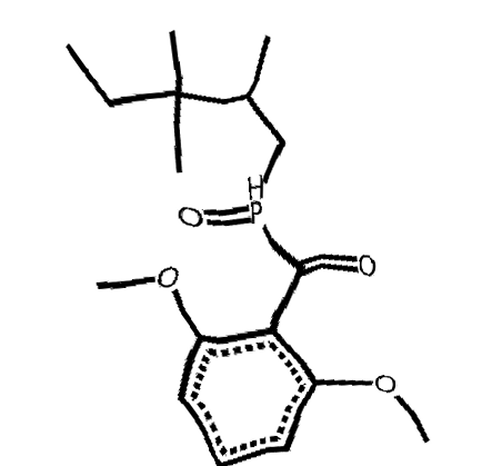 CCC(C)(C)C(C)C[PH](=O)C(=O)c1c(OC)cccc1OC